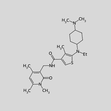 CCN(c1scc(C(=O)NCc2c(C)cc(C)n(C)c2=O)c1C)C1CCC(N(C)C)CC1